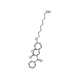 O=C(c1ccccc1)c1cc2ccc(OCCCCCCCCO)cc2oc1=O